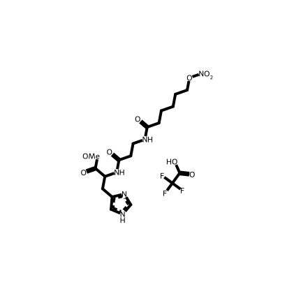 COC(=O)C(Cc1c[nH]cn1)NC(=O)CCNC(=O)CCCCCO[N+](=O)[O-].O=C(O)C(F)(F)F